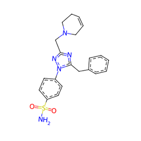 NS(=O)(=O)c1ccc(-n2nc(CN3CC=CCC3)nc2Cc2ccccc2)cc1